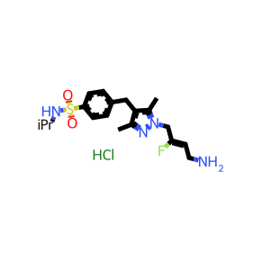 Cc1nn(CC(F)=CCN)c(C)c1Cc1ccc(S(=O)(=O)NC(C)C)cc1.Cl